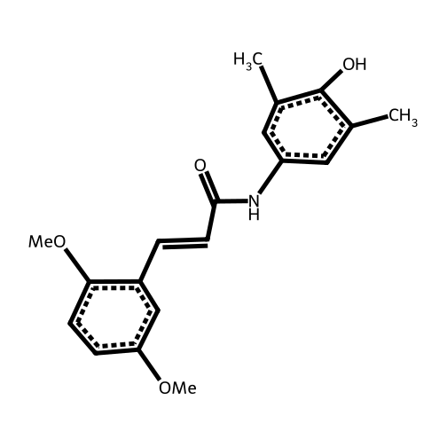 COc1ccc(OC)c(/C=C/C(=O)Nc2cc(C)c(O)c(C)c2)c1